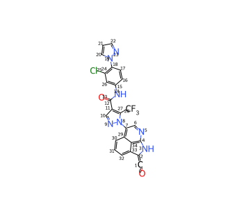 O=C=c1[nH]c2ncc(-n3ncc(C(=O)Nc4ccc(-n5cccn5)c(Cl)c4)c3C(F)(F)F)c3cccc1c23